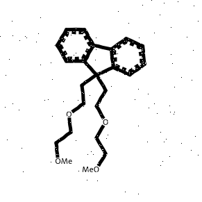 COCCOCCC1(CCOCCOC)c2c[c]ccc2-c2cc[c]cc21